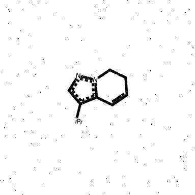 CC(C)c1cnn2c1C=CCC2